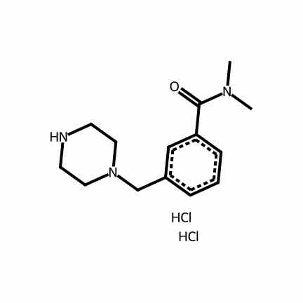 CN(C)C(=O)c1cccc(CN2CCNCC2)c1.Cl.Cl